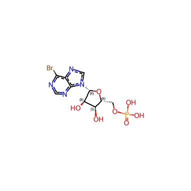 O=P(O)(O)OC[C@H]1O[C@@H](n2cnc3c(Br)ncnc32)[C@H](O)[C@@H]1O